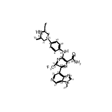 CC1CN(c2ccc(Nc3nc(C(F)(F)F)c(-c4cncc5c4ncn5C)nc3C(N)=O)cc2)CC(C)N1